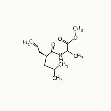 C=CC[C@H](CC(C)C)C(=O)NC(C)C(=O)OC